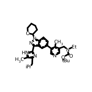 CCN(Cc1cncc(-c2ccc3c(c2)c(-c2nc(CC(C)C)c(C)[nH]2)nn3C2CCCCO2)c1C)C(=O)OC(C)(C)C